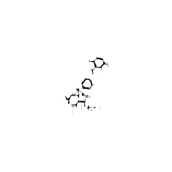 Cc1ccc(F)cc1COc1ccc(S(=O)(=O)N2CC(=O)N[C@@H](C)C2C(=O)NO)cc1